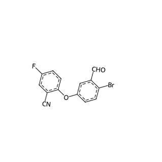 N#Cc1cc(F)ccc1Oc1ccc(Br)c(C=O)c1